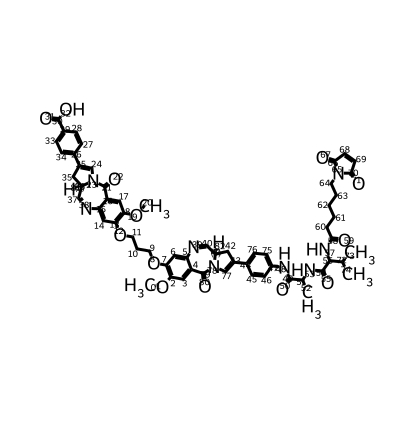 COc1cc2c(cc1OCCCOc1cc3c(cc1OC)C(=O)N1C=C(c4ccc(C(=O)O)cc4)C[C@H]1C=N3)N=C[C@@H]1CC(c3ccc(NC(=O)C(C)NC(=O)C(NC(=O)CCCCCN4C(=O)C=CC4=O)C(C)C)cc3)=CN1C2=O